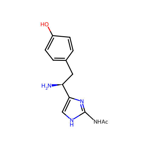 CC(=O)Nc1nc([C@@H](N)Cc2ccc(O)cc2)c[nH]1